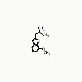 COc1cccc2cc(CC(C)C)oc12